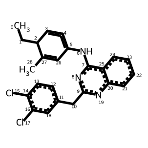 CCC1C=C=C(Nc2nc(Cc3ccc(Cl)c(Cl)c3)nc3ccccc23)C=C1C